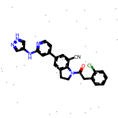 N#Cc1cc(-c2ccnc(Nc3cn[nH]c3)c2)cc2c1N(C(=O)Cc1ccccc1Cl)CC2